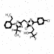 CCc1ccccc1-n1nc(Cn2nc(-c3ccc(Cl)cc3)n(CC(O)C(F)(F)F)c2=O)nc1C(C)(F)F